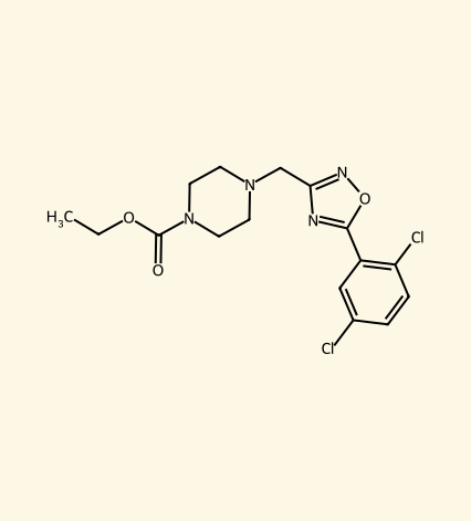 CCOC(=O)N1CCN(Cc2noc(-c3cc(Cl)ccc3Cl)n2)CC1